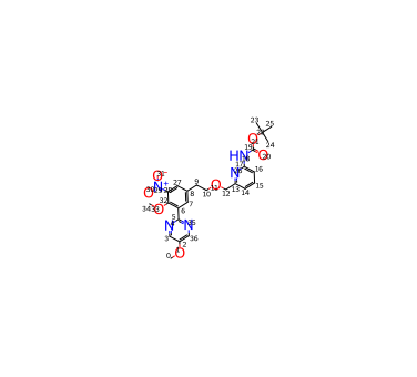 COc1cnc(-c2cc(CCOCc3cccc(NC(=O)OC(C)(C)C)n3)cc([N+](=O)[O-])c2OC)nc1